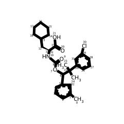 Cc1cccc(C(OC(=O)N[C@@H](CC2CCCCC2)C(=O)O)C(C)(C)c2cccc(Cl)c2)c1